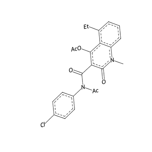 CCc1cccc2c1c(OC(C)=O)c(C(=O)N(C(C)=O)c1ccc(Cl)cc1)c(=O)n2C